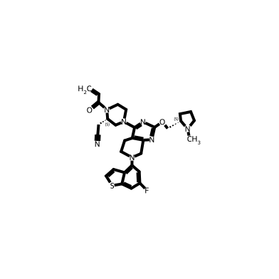 C=CC(=O)N1CCN(c2nc(OC[C@@H]3CCCN3C)nc3c2CCN(c2cc(F)cc4sccc24)C3)C[C@@H]1CC#N